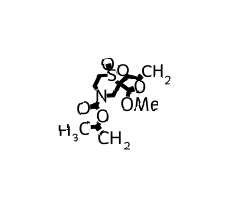 C=CCC1(C(=O)OC)CN(C(=O)OC(=C)C)CCS1(=O)=O